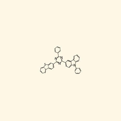 c1ccc(-c2nc(-c3ccc4c(c3)sc3ccccc34)nc(-c3ccc4c(c3)c3ccccc3n4-c3ccccc3)n2)cc1